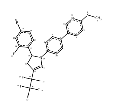 CSc1ccc(-c2ccc(N3N=C(C(F)(F)C(F)(F)F)CC3c3ccc(F)cc3F)cc2)cn1